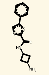 N[C@H]1C[C@@H](NC(=O)c2ncc(-c3ccccc3)s2)C1